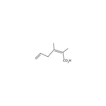 C=CCC(C)=C(C)C(=O)O